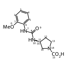 COc1ccccc1NC(=O)N[C@H]1CCN(C(=O)O)C1